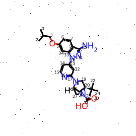 CC(C)COc1ccc2c(N)nn(-c3ccnc(N4C[C@@]5(C(C)(C)C)C[C@H]4CN5C(=O)O)c3)c2c1